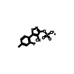 Cc1ccc(-c2snc(OS(=O)(=O)C(F)(F)F)c2C#N)c(F)c1